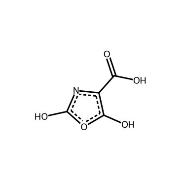 O=C(O)c1nc(O)oc1O